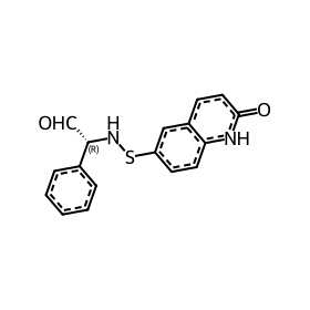 O=C[C@H](NSc1ccc2[nH]c(=O)ccc2c1)c1ccccc1